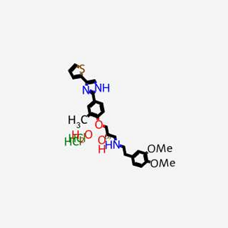 COc1ccc(CCNC[C@H](O)COc2ccc(-c3nc(-c4cccs4)c[nH]3)cc2C)cc1OC.Cl.Cl.O